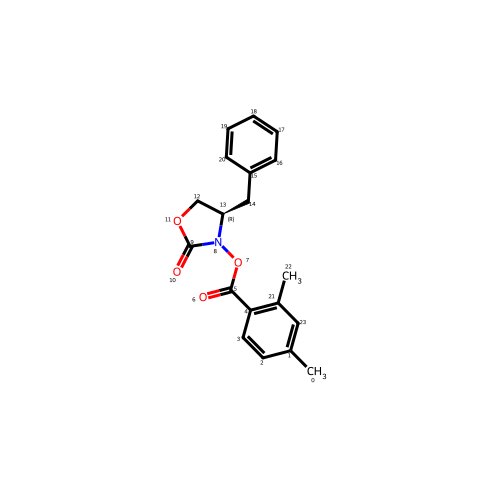 Cc1ccc(C(=O)ON2C(=O)OC[C@H]2Cc2ccccc2)c(C)c1